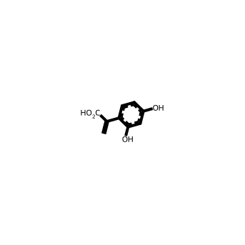 C=C(C(=O)O)c1ccc(O)cc1O